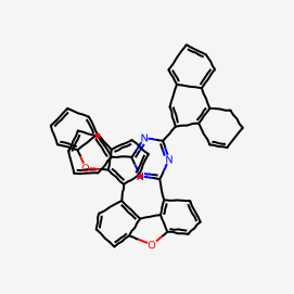 C1=Cc2c(-c3nc(-c4ccccc4)nc(-c4cccc5oc6cccc(-c7cccc8c7oc7ccccc78)c6c45)n3)cc3ccccc3c2CC1